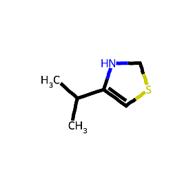 CC(C)C1=CSCN1